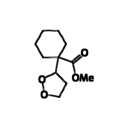 COC(=O)C1(C2CCOO2)CCCCC1